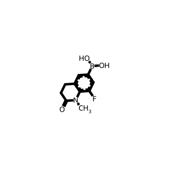 CN1C(=O)CCc2cc(B(O)O)cc(F)c21